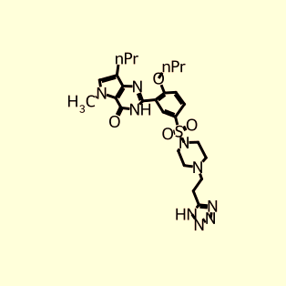 CCCOc1ccc(S(=O)(=O)N2CCN(CCc3nnn[nH]3)CC2)cc1-c1nc2c(CCC)cn(C)c2c(=O)[nH]1